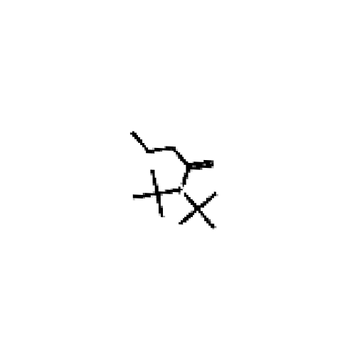 C=C(CCC)P(C(C)(C)C)C(C)(C)C